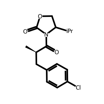 CC(C)C1COC(=O)N1C(=O)[C@H](C)Cc1ccc(Cl)cc1